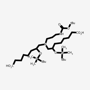 CC(C)(C)OC(=O)NCCCN(CC(CCCCCC(=O)O)O[Si](C)(C)C(C)(C)C)CC(CCCCCC(=O)O)O[Si](C)(C)C(C)(C)C